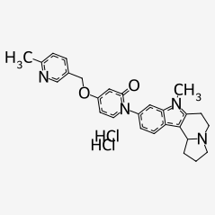 Cc1ccc(COc2ccn(-c3ccc4c5c(n(C)c4c3)CCN3CCCC53)c(=O)c2)cn1.Cl.Cl